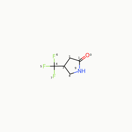 O=C1CC(C(F)(F)F)CN1